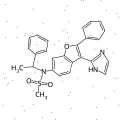 CC(c1ccccc1)N(c1ccc2c(-c3ncc[nH]3)c(-c3ccccc3)oc2c1)S(C)(=O)=O